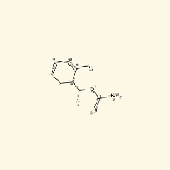 [CH2][C@@H](OC(N)=O)c1ccccc1Cl